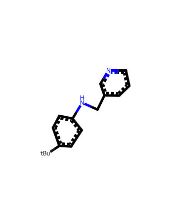 CC(C)(C)c1ccc(NCc2cccnc2)cc1